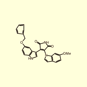 COc1ccc2ccn(C3=C(c4c[nH]c5ccc(OCc6ccccc6)cc45)C(=O)NC3=O)c2c1